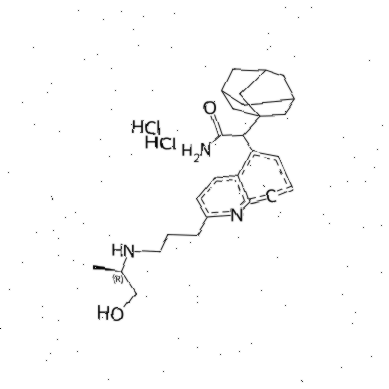 C[C@H](CO)NCCCc1ccc2c(C(C(N)=O)C34CC5CC(CC(C5)C3)C4)cccc2n1.Cl.Cl